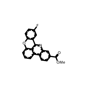 COC(=O)c1ccc2c(c1)nc1c3c(cccc32)Oc2ccc(F)cc2-1